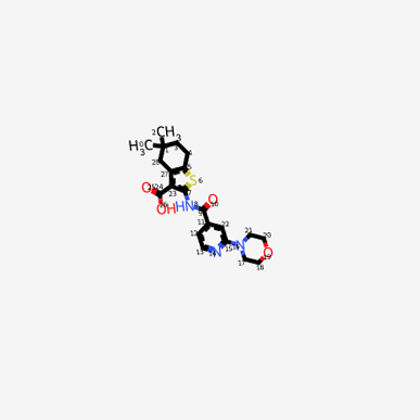 CC1(C)CCc2sc(NC(=O)c3ccnc(N4CCOCC4)c3)c(C(=O)O)c2C1